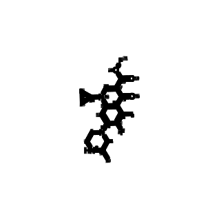 Cc1c(F)c(N2CCNC(C)C2)cc2c1c(=O)c(C(=O)OF)cn2C1CC1